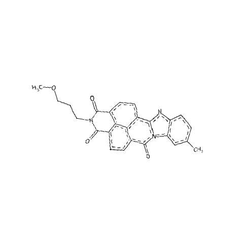 COCCCN1C(=O)c2ccc3c(=O)n4c5cc(C)ccc5nc4c4ccc(c2c34)C1=O